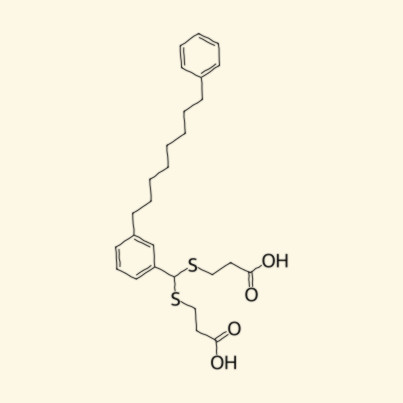 O=C(O)CCSC(SCCC(=O)O)c1cccc(CCCCCCCCc2ccccc2)c1